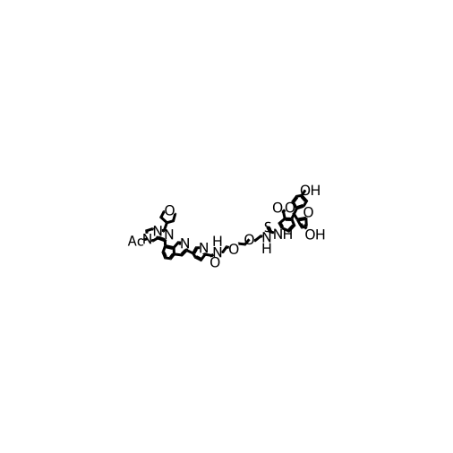 CC(=O)N1CCn2c(C3CCOCC3)nc(-c3cccc4cc(-c5ccc(C(=O)NCCOCCOCCNC(=S)Nc6ccc7c(c6)C(=O)OC76c7ccc(O)cc7Oc7cc(O)ccc76)nc5)ncc34)c2C1